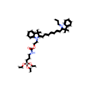 CCC[N+]1=C(/C=C/C=C/C=C/C=C2/N(CCOC(=O)NCCC[Si](OCC)(OCC)OCC)c3ccccc3C2(C)C)C(C)(C)c2ccccc21